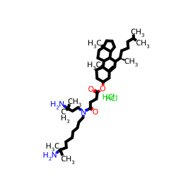 CC(C)CCC[C@@H](C)C1C=C2CC(OC(=O)CCC(=O)N(CCCCCCCC(C)(C)N)CCC(C)(C)N)CCC2(C)C2CCC3(C)CCCC3C12.Cl.Cl